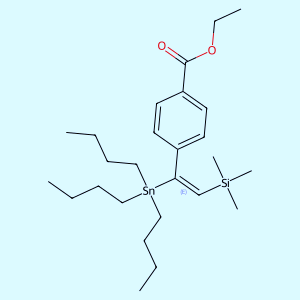 CCC[CH2][Sn]([CH2]CCC)([CH2]CCC)/[C](=C/[Si](C)(C)C)c1ccc(C(=O)OCC)cc1